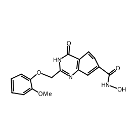 COc1ccccc1OCc1nc2cc(C(=O)NO)ccc2c(=O)[nH]1